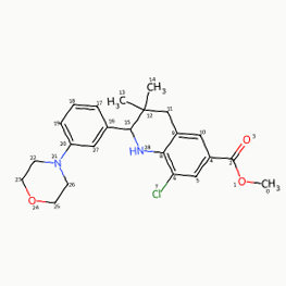 COC(=O)c1cc(Cl)c2c(c1)CC(C)(C)C(c1cccc(N3CCOCC3)c1)N2